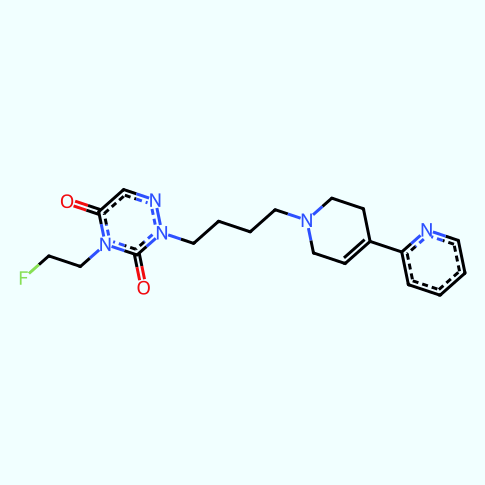 O=c1cnn(CCCCN2CC=C(c3ccccn3)CC2)c(=O)n1CCF